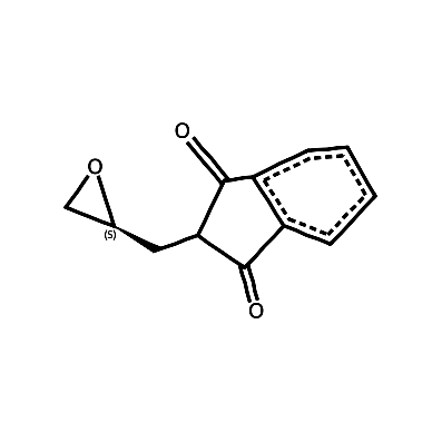 O=C1c2ccccc2C(=O)C1C[C@H]1CO1